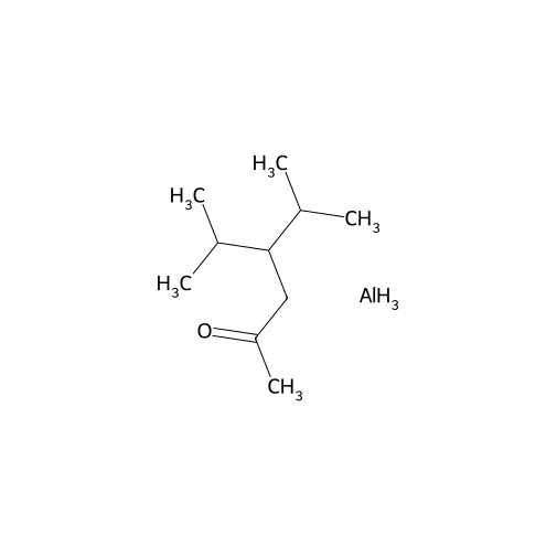 CC(=O)CC(C(C)C)C(C)C.[AlH3]